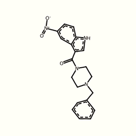 O=C(c1c[nH]c2ccc([N+](=O)[O-])cc12)N1CCN(Cc2ccccc2)CC1